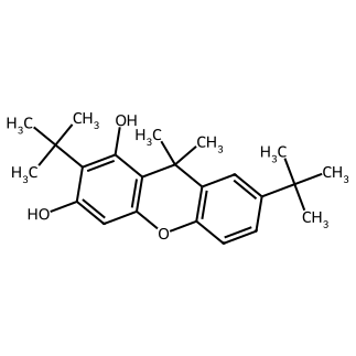 CC(C)(C)c1ccc2c(c1)C(C)(C)c1c(cc(O)c(C(C)(C)C)c1O)O2